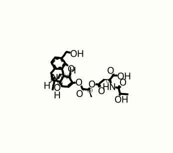 CC(O)C(=O)N[C@@H](CC(=O)O[C@@H](C)C(=O)OC1=CC[C@@]2(O)[C@H]3Cc4ccc(CO)c5c4[C@@]2(CCN3C)[C@H]1O5)C(=O)O